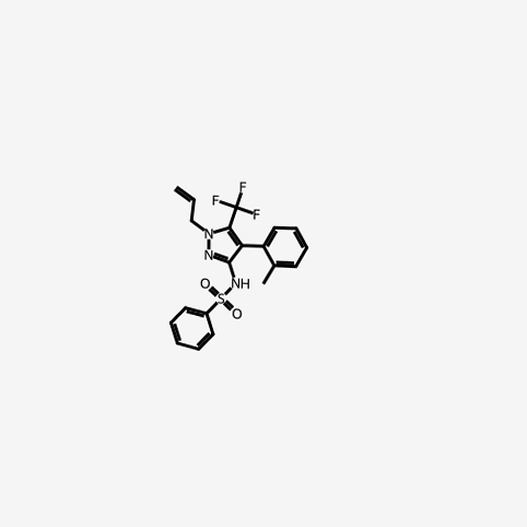 C=CCn1nc(NS(=O)(=O)c2ccccc2)c(-c2ccccc2C)c1C(F)(F)F